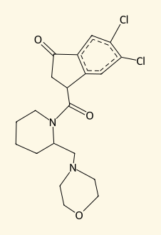 O=C1CC(C(=O)N2CCCCC2CN2CCOCC2)c2cc(Cl)c(Cl)cc21